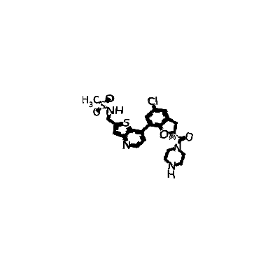 CS(=O)(=O)NCc1cc2nccc(-c3cc(Cl)cc4c3O[C@@H](C(=O)N3CCNCC3)C4)c2s1